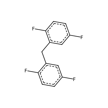 Fc1ccc(F)c(Cc2cc(F)ccc2F)c1